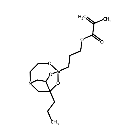 C=C(C)C(=O)OCCC[Si]12OCCN(CCO1)CC(CCC)O2